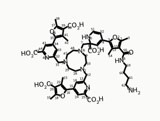 Cc1oc(C2=CC(CN3CCN(Cc4cc(-c5oc(C)c(C(=O)O)c5C)cc(C(=O)O)n4)CCN(Cc4cc(-c5oc(C)c(C(=O)O)c5C)cc(C(=O)O)n4)CC3)(C(=O)O)NC=C2)c(C)c1C(=O)NCCCCN